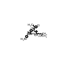 CCCc1cc(Cl)ccc1C1COc2ccc(C(O)C(=O)NSc3ccc(OC)cc3)cc2N(CC2CCC2C(/C=C/CCN(C)C(C)=O)OC)C1